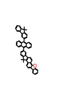 CC1(C)c2ccccc2-c2cc(-c3c4ccccc4c(-c4ccc5c(c4)-c4ccc6c(ccc7c8ccccc8oc67)c4C5(C)C)c4ccccc34)ccc21